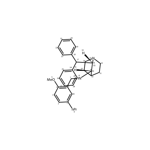 CCCc1ccc(OC)c(CN[C@H]2C3CCN(CC3)[C@H]2C(c2ccccc2)c2ccccc2)c1